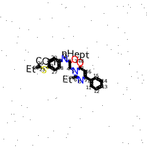 CCCCCCCN(C(=O)Cn1c(CC)nc(-c2ccccc2)cc1=O)c1ccc(SC(CC)C(=O)O)cc1